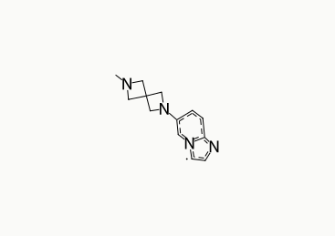 CN1CC2(C1)CN(c1ccc3nc[c]n3c1)C2